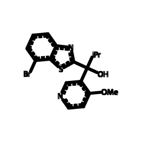 COc1ccncc1C(O)(c1nc2cccc(Br)c2s1)C(C)C